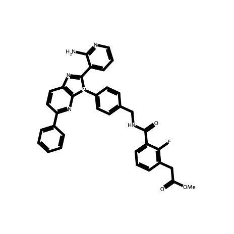 COC(=O)Cc1cccc(C(=O)NCc2ccc(-n3c(-c4cccnc4N)nc4ccc(-c5ccccc5)nc43)cc2)c1F